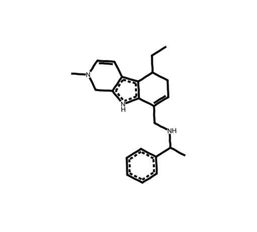 CCC1CC=C(CNC(C)c2ccccc2)c2[nH]c3c(c21)C=CN(C)C3